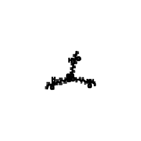 O=C(CI)NCCCCCCOP(=O)(OCCCCCCNC(=O)CI)OCCCCCCNC(=O)CI